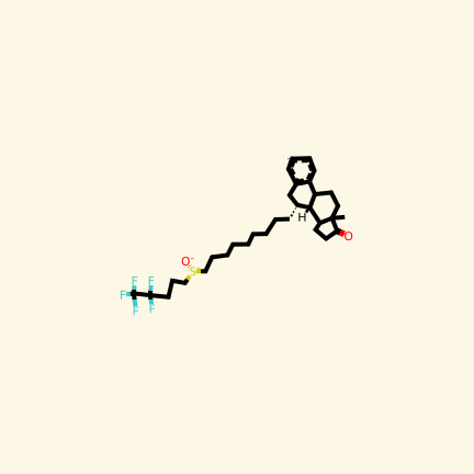 CC12CCC3c4cc[c]cc4C[C@@H](CCCCCCCCC[S+]([O-])CCCC(F)(F)C(F)(F)F)[C@H]3C1CCC2=O